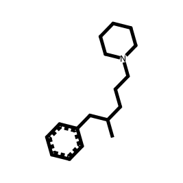 CC(CCCN1CCCCC1)Cc1ccccc1